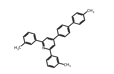 Cc1ccc(-c2ccc(-c3cc(-c4cccc(C)c4)nc(-c4cccc(C)c4)c3)cc2)cc1